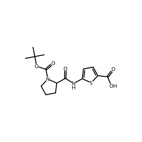 CC(C)(C)OC(=O)N1CCCC1C(=O)Nc1ccc(C(=O)O)s1